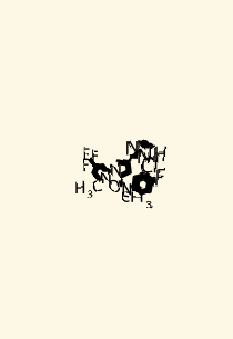 Cc1cc(C(F)(F)F)cc(N2C[C@@H](c3ncc[nH]3)C[C@H]2C(=O)N(C)c2ccc(F)c(Cl)c2)n1